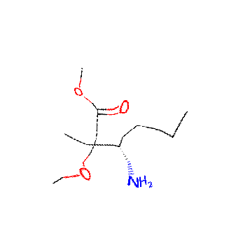 CCC[C@H](N)C(C)(OC)C(=O)OC